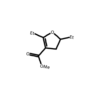 CCC1=C(C(=O)OC)CC(CC)O1